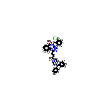 O=C(CCc1nnc2n(Cc3ccccc3Cl)c(=O)c3ccccc3n12)N1CCN(C(c2ccccc2)c2ccccc2)CC1